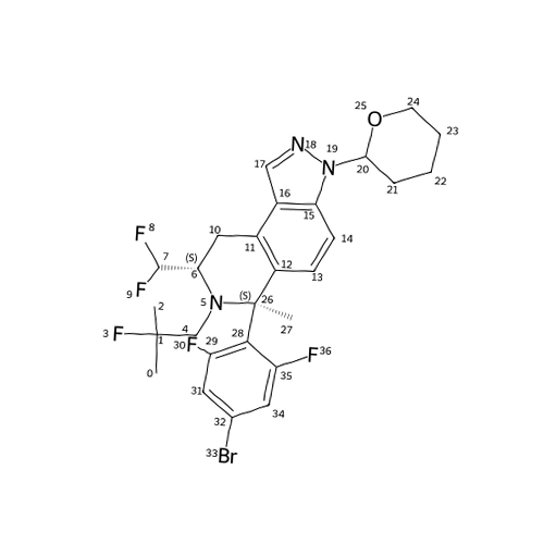 CC(C)(F)CN1[C@H](C(F)F)Cc2c(ccc3c2cnn3C2CCCCO2)[C@@]1(C)c1c(F)cc(Br)cc1F